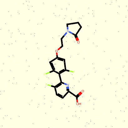 O=C(O)c1ccc(F)c(-c2c(F)cc(OCCN3CCCC3=O)cc2F)n1